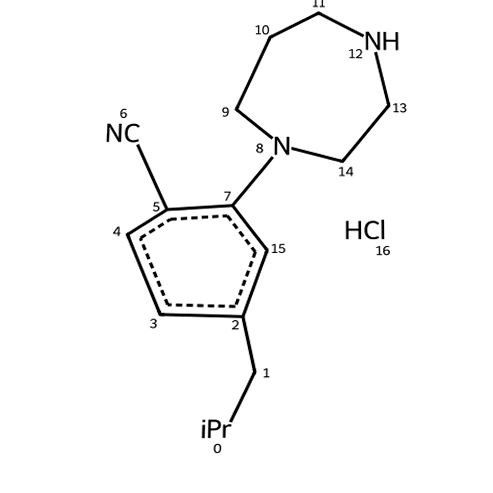 CC(C)Cc1ccc(C#N)c(N2CCCNCC2)c1.Cl